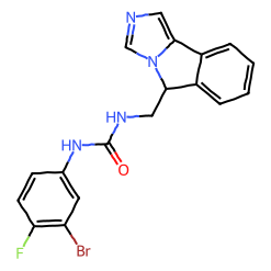 O=C(NCC1c2ccccc2-c2cncn21)Nc1ccc(F)c(Br)c1